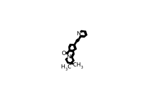 CC1(C)CCn2c(cc3cc(C#Cc4ccccn4)ccc3c2=O)C1